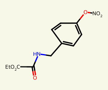 CCOC(=O)C(=O)NCc1ccc(O[N+](=O)[O-])cc1